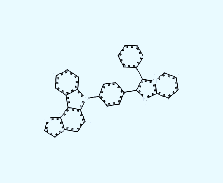 c1ccc(-c2c(-c3ccc(-n4c5ccccc5c5c6sccc6ccc54)cc3)nc3ccccn23)cc1